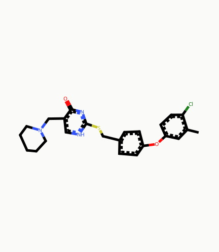 Cc1cc(Oc2ccc(CSc3nc(=O)c(CN4CCCCC4)c[nH]3)cc2)ccc1Cl